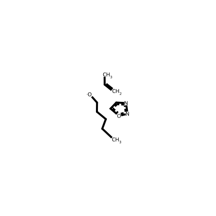 C=CC.CCCCC[O].c1conn1